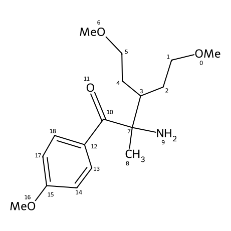 COCCC(CCOC)C(C)(N)C(=O)c1ccc(OC)cc1